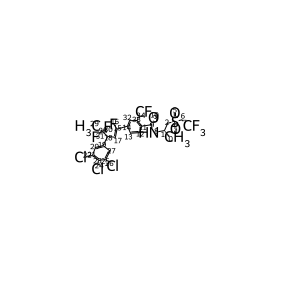 C[C@H](CS(=O)(=O)CC(F)(F)F)NC(=O)c1ccc(/C(F)=C/C(c2cc(Cl)c(Cl)c(Cl)c2)C(C)(F)F)cc1C(F)(F)F